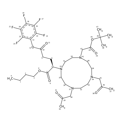 CCCCOC(=O)[C@@H](CCC(=O)Oc1c(F)c(F)c(F)c(F)c1F)N1CCN(CC(C)=O)CCN(CC(C)=O)CCN(CC(=O)OC(C)(C)C)CC1